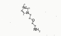 C[n+]1ccn(CCOCCN)c1